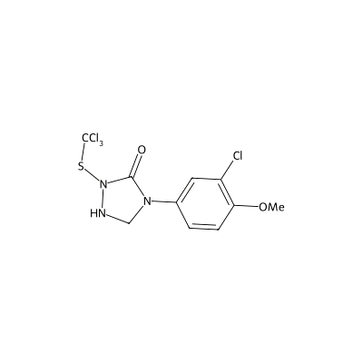 COc1ccc(N2CNN(SC(Cl)(Cl)Cl)C2=O)cc1Cl